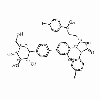 O=C1N[C@@H](CC[C@H](O)c2ccc(F)cc2)[C@@H](c2ccc(-c3ccc(C4O[C@H](CO)[C@@H](O)[C@H](O)[C@H]4O)cc3)cc2O)N1c1ccc(F)cc1